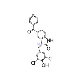 O=C1Nc2ccc(C(=O)c3ccncc3)cc2/C1=C/c1cc(Cl)c(O)c(Cl)c1